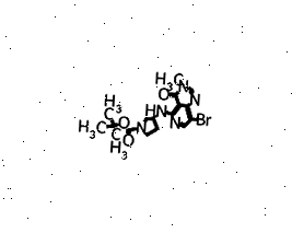 Cn1cnc2c(Br)cnc(N[C@H]3CCN(C(=O)OC(C)(C)C)C3)c2c1=O